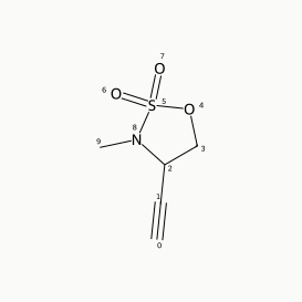 C#CC1COS(=O)(=O)N1C